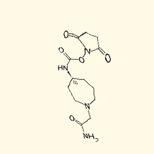 NC(=O)CN1CCC[C@H](NC(=O)ON2C(=O)CCC2=O)CC1